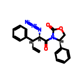 C=C[C@H](c1ccccc1)[C@H](N=[N+]=[N-])C(=O)N1C(=O)OC[C@@H]1c1ccccc1